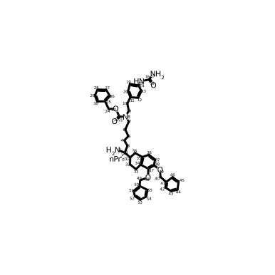 CCC[C@](N)(CCCCCN(CCc1ccc(NC(N)=O)cc1)C(=O)OCc1ccccc1)C1CCc2c(ccc(OCc3ccccc3)c2OCc2ccccc2)C1